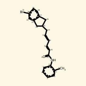 Cc1ccccc1NC(=O)C=CC=CCC1Cc2ccc(Br)cc2C1